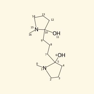 CN1CCCC1(O)CCCC1(O)CCCN1C